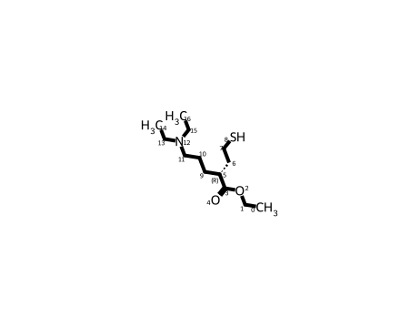 CCOC(=O)[C@@H](CCS)CCCN(CC)CC